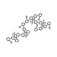 N#Cc1ccccc1-c1ccc2c(c1)c1ccccc1n2-c1cc(-c2ccc(C(F)(F)F)c(-n3c4ccccc4c4cc(-c5cc(-c6ccc(-c7ccc8c9ccc(-c%10ccccc%10C#N)cc9n(-c9cc(-c%10ccc(C(F)(F)F)c(-n%11c%12cc(-c%13ccccc%13C#N)ccc%12c%12ccc(-c%13ccccc%13C#N)cc%12%11)c%10)ccc9C(F)(F)F)c8c7)c(C#N)c6)ccc5C#N)ccc43)c2)ccc1C(F)(F)F